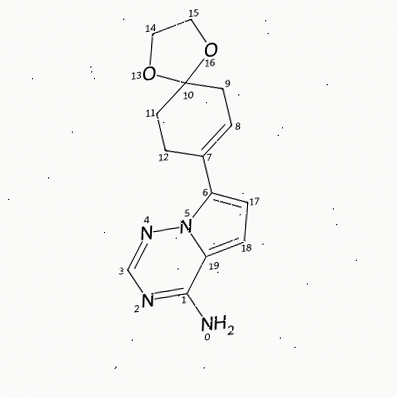 Nc1ncnn2c(C3=CCC4(CC3)OCCO4)ccc12